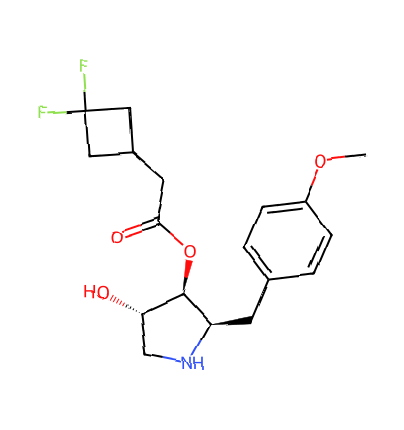 COc1ccc(C[C@H]2NC[C@H](O)[C@H]2OC(=O)CC2CC(F)(F)C2)cc1